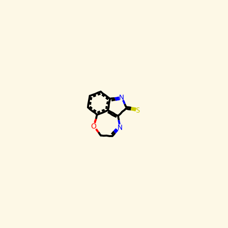 S=C1N=c2cccc3c2=C1N=CCO3